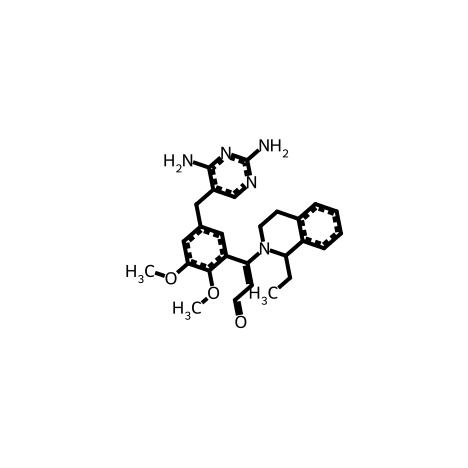 CCC1c2ccccc2CCN1C(=CC=O)c1cc(Cc2cnc(N)nc2N)cc(OC)c1OC